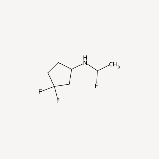 CC(F)NC1CCC(F)(F)C1